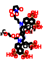 COCCOCC[N+]1=C(/C=C2\C(=O)C(/C=C3/N(CCCC(=O)ON4C(=O)CCC4=O)c4ccc5c(S(=O)(=O)O)cc(S(=O)(=O)O)cc5c4C3(C)C)=C2O)C(C)(CCCS(=O)(=O)O)c2c1ccc1c(S(=O)(=O)O)cc(S(=O)(=O)O)cc21